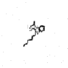 CCCCCCC[n+]1c2ccccc2n2c(C)csc21.[I-]